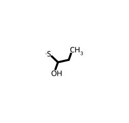 CCC(O)[S]